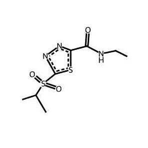 CCNC(=O)c1nnc(S(=O)(=O)C(C)C)s1